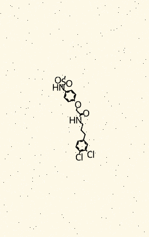 CS(=O)(=O)Nc1ccc(OCC(=O)NCCCc2ccc(Cl)c(Cl)c2)cc1